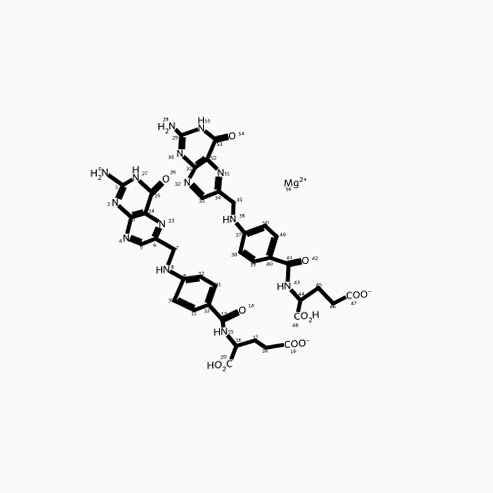 Nc1nc2ncc(CNc3ccc(C(=O)NC(CCC(=O)[O-])C(=O)O)cc3)nc2c(=O)[nH]1.Nc1nc2ncc(CNc3ccc(C(=O)NC(CCC(=O)[O-])C(=O)O)cc3)nc2c(=O)[nH]1.[Mg+2]